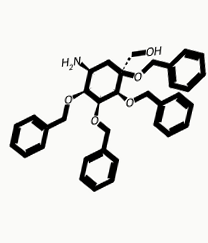 N[C@H]1C[C@@](CO)(OCc2ccccc2)[C@@H](OCc2ccccc2)[C@@H](OCc2ccccc2)[C@H]1OCc1ccccc1